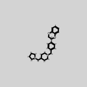 c1ccc2c(c1)OC[C@H](c1ccc(CN3CCC(CN4CCCC4)CC3)cc1)O2